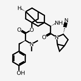 CN(C)[C@@H](Cc1ccc(O)cc1)C(=O)OC12CC3C[C@H](C1)CC([C@H](N)C(=O)N1C4CC4C[C@H]1C#N)(C3)C2